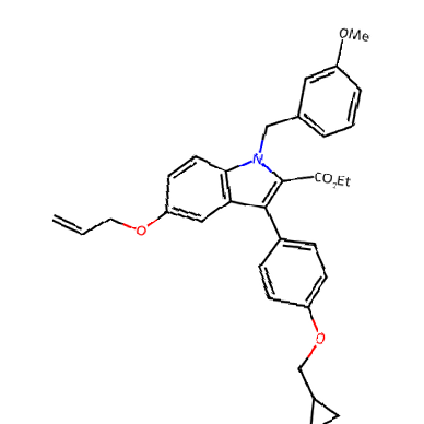 C=CCOc1ccc2c(c1)c(-c1ccc(OCC3CC3)cc1)c(C(=O)OCC)n2Cc1cccc(OC)c1